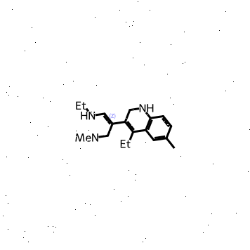 CCN/C=C(\CNC)C1=C(CC)c2cc(C)ccc2NC1